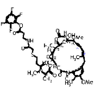 COc1cc2cc(c1Cl)N(C)C(=O)C[C@H](OC(=O)[C@H](C)N(C)C(=O)CCSCC(=O)NCCC(=O)Oc1c(F)c(F)cc(F)c1F)[C@]1(C)O[C@H]1[C@H](C)[C@@H]1C[C@@](O)(NC(=O)O1)[C@H](OC)/C=C/C=C(\C)C2